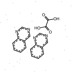 O=C(O)C(=O)O.c1ccc2ncncc2c1.c1ccc2ncncc2c1